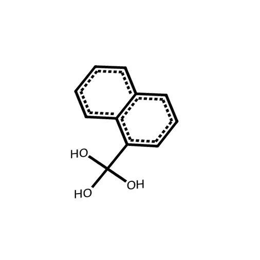 OC(O)(O)c1cccc2ccccc12